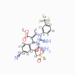 COC(=O)C1=C(C)N(c2cccc(C(F)(F)F)c2)C(=N)N(C(N)=O)[C@@H]1c1ccc(C#N)cc1CCS(C)(=O)=O